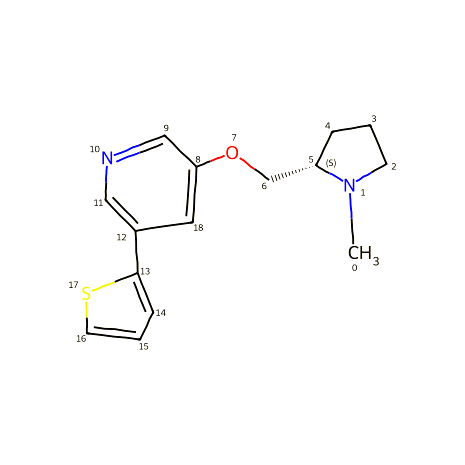 CN1CCC[C@H]1COc1cncc(-c2cccs2)c1